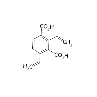 C=Cc1ccc(C(=O)O)c(C=C)c1C(=O)O